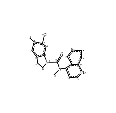 Cc1cc2c(cc1Cl)N(C(=O)N(C)c1ccnc3ccccc13)CC2